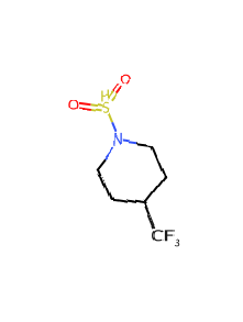 O=[SH](=O)N1CCC(C(F)(F)F)CC1